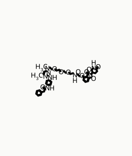 Cc1cc(N(C)CCOCCOCCOCCNC(=O)COc2cccc3c2C(=O)N(C2CCC(=O)NC2=O)C3=O)nc(Nc2ccc(NC(=O)Cc3ccccc3)cc2)n1